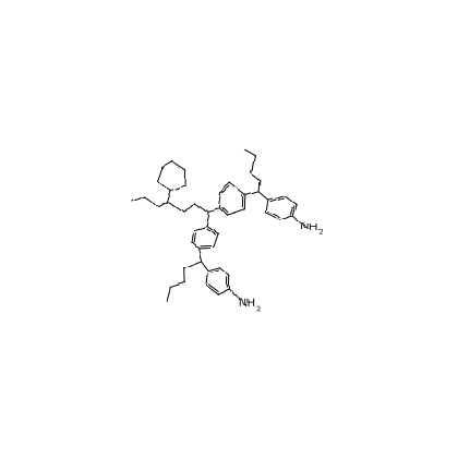 CCCCC(c1ccc(N)cc1)c1ccc(C(CCC(CCC)C2CCCCC2)c2ccc(C(CCCC)c3ccc(N)cc3)cc2)cc1